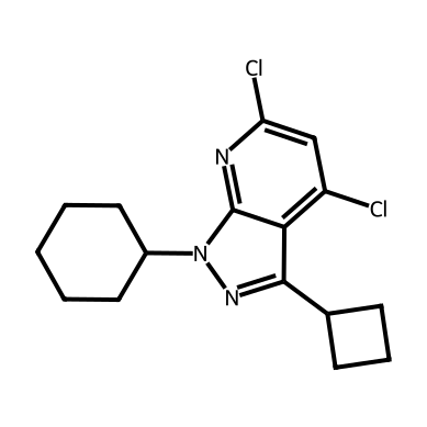 Clc1cc(Cl)c2c(C3CCC3)nn(C3CCCCC3)c2n1